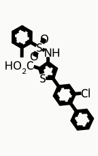 Cc1ccccc1S(=O)(=O)Nc1cc(-c2ccc(-c3ccccc3)c(Cl)c2)sc1C(=O)O